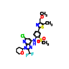 COCc1nc(-c2ccc(Nc3cc(Cl)nc4c3nc(C(F)F)n4C3CCCCO3)c(S(C)(=O)=O)c2)sc1C